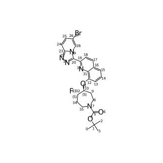 CC(C)(C)OC(=O)N1CC[C@H](Oc2cccc3ccc(-c4nnc5ccc(Br)cn45)nc23)[C@@H](F)CC1